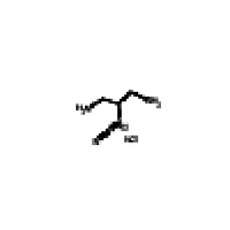 Cl.Cl.[N-]=[N+]=NC(CN)CN